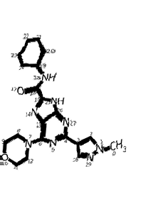 Cn1cc(-c2nc(N3CCOCC3)c3nc(C(=O)NC4CCCCC4)[nH]c3n2)cn1